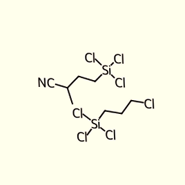 CC(C#N)CC[Si](Cl)(Cl)Cl.ClCCC[Si](Cl)(Cl)Cl